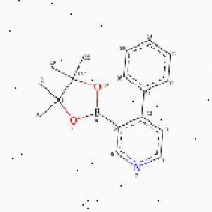 CC1(C)OB(c2cnccc2-c2ccccc2)OC1(C)C